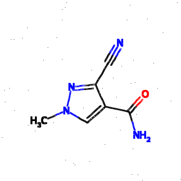 Cn1cc(C(N)=O)c(C#N)n1